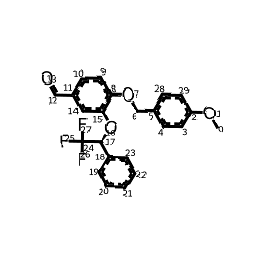 COc1ccc(COc2ccc(C=O)cc2O[C@@H](c2ccccc2)C(F)(F)F)cc1